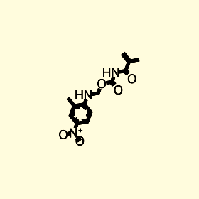 C=C(C)C(=O)NC(=O)OCNc1ccc([N+](=O)[O-])cc1C